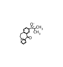 CC(C)[S+]([O-])c1ccc2c(c1)C(=O)c1cccn1CC2